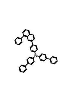 c1ccc(-c2ccc(N(c3ccc(-c4ccccc4)cc3)c3ccc(-c4ccc5cccc(-c6ccccc6)c5c4)cc3)cc2)cc1